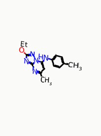 CCOc1nc2nc(C)cc(Nc3ccc(C)cc3)n2n1